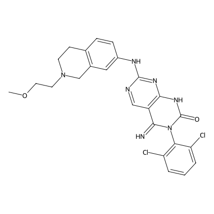 COCCN1CCc2ccc(Nc3ncc4c(=N)n(-c5c(Cl)cccc5Cl)c(=O)[nH]c4n3)cc2C1